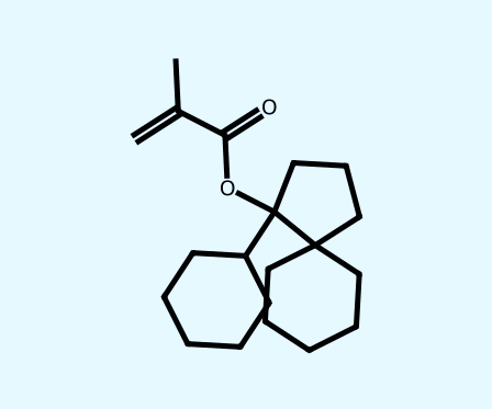 C=C(C)C(=O)OC1(C2CCCCC2)CCCC12CCCCC2